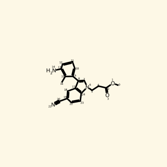 COC(=O)CCn1cc(-c2cccc(N)c2C)c2cc(C#N)ccc21